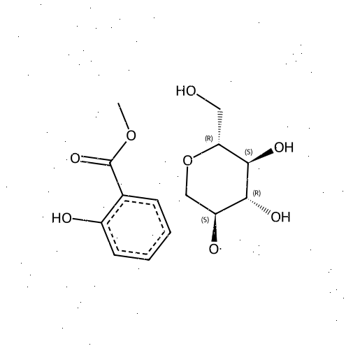 COC(=O)c1ccccc1O.[O][C@H]1CO[C@H](CO)[C@@H](O)[C@@H]1O